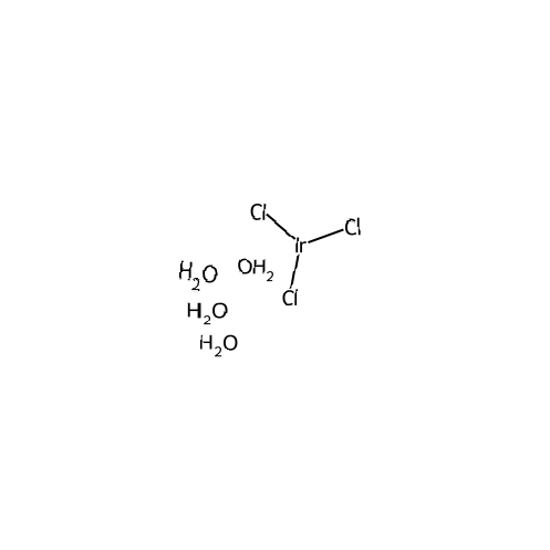 O.O.O.O.[Cl][Ir]([Cl])[Cl]